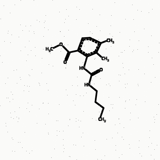 CCCCNC(=O)Nc1c(C(=O)OC)ccc(C)c1C